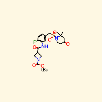 CC(C)(C)OC(=O)N1CC(C(=O)Nc2cc(CS(=O)(=O)N3CCC(=O)CC3(C)C)ccc2F)C1